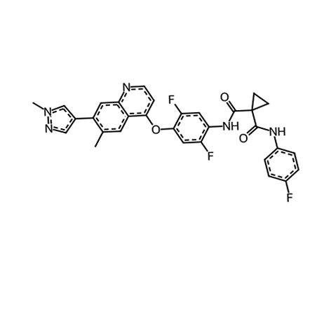 Cc1cc2c(Oc3cc(F)c(NC(=O)C4(C(=O)Nc5ccc(F)cc5)CC4)cc3F)ccnc2cc1-c1cnn(C)c1